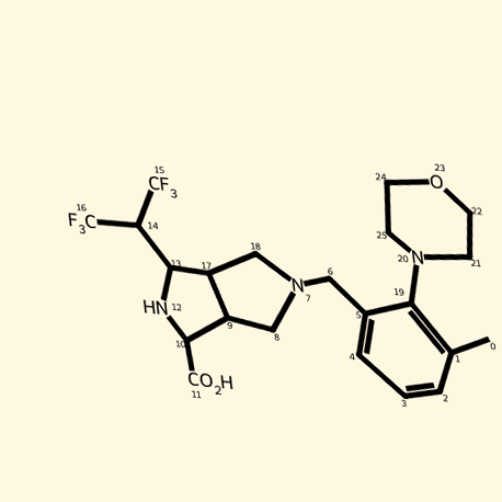 Cc1cccc(CN2CC3C(C(=O)O)NC(C(C(F)(F)F)C(F)(F)F)C3C2)c1N1CCOCC1